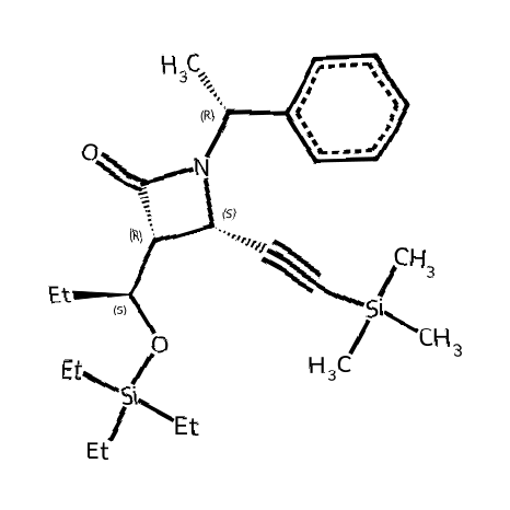 CC[C@H](O[Si](CC)(CC)CC)[C@@H]1C(=O)N([C@H](C)c2ccccc2)[C@@H]1C#C[Si](C)(C)C